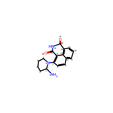 NC1CCCCN1c1ccc2cccc3c2c1C(=O)NC3=O